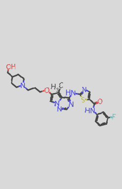 Cc1c(OCCCN2CCC(CO)CC2)cn2ncnc(Nc3ncc(C(=O)Nc4cccc(F)c4)s3)c12